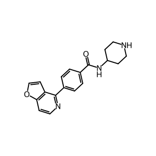 O=C(NC1CCNCC1)c1ccc(-c2nccc3occc23)cc1